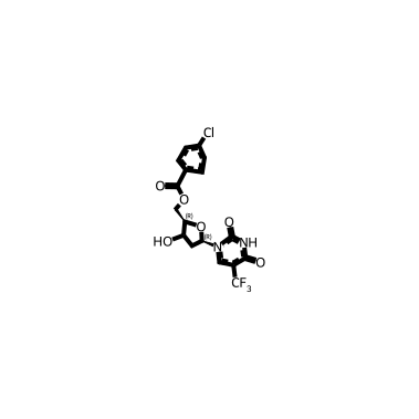 O=C(OC[C@H]1O[C@@H](n2cc(C(F)(F)F)c(=O)[nH]c2=O)CC1O)c1ccc(Cl)cc1